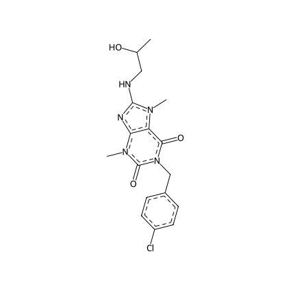 CC(O)CNc1nc2c(c(=O)n(Cc3ccc(Cl)cc3)c(=O)n2C)n1C